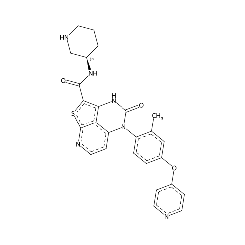 Cc1cc(Oc2ccncc2)ccc1N1C(=O)Nc2c(C(=O)N[C@@H]3CCCNC3)sc3nccc1c23